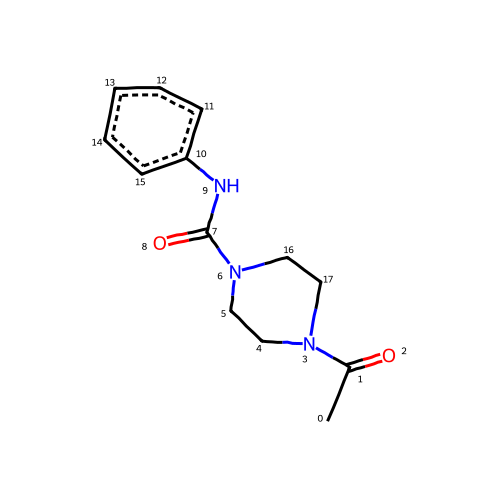 CC(=O)N1CCN(C(=O)Nc2ccccc2)CC1